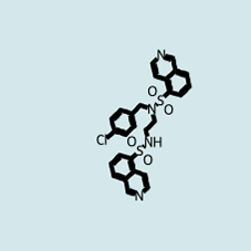 O=S(=O)(NCCN(Cc1ccc(Cl)cc1)S(=O)(=O)c1cccc2cnccc12)c1cccc2cnccc12